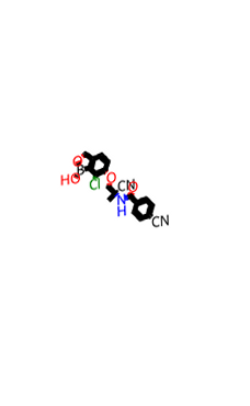 C[C@](C#N)(COc1ccc2c(c1Cl)B(O)OC2)NC(=O)c1ccc(C#N)cc1